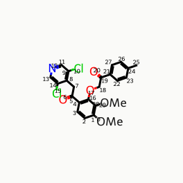 COc1ccc(C(=O)Cc2c(Cl)cncc2Cl)c(OCC(=O)c2ccc(C)cc2)c1OC